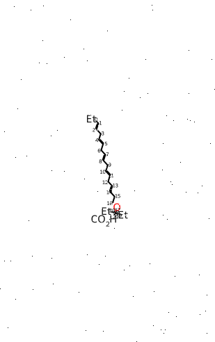 CCC=CCC=CCC=CCC=CCC=CCCOC(CC)(CC)C(=O)O